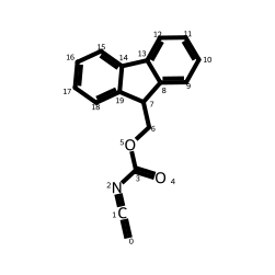 C=C=NC(=O)OCC1c2ccccc2-c2ccccc21